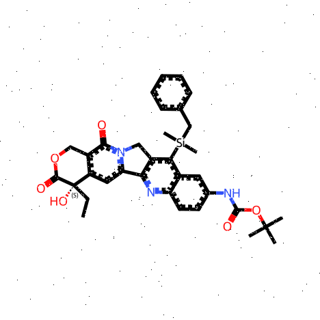 CC[C@@]1(O)C(=O)OCc2c1cc1n(c2=O)Cc2c-1nc1ccc(NC(=O)OC(C)(C)C)cc1c2[Si](C)(C)Cc1ccccc1